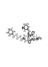 CC(C)C[C@@H]1NC(=O)C2(CCN(CCCCCc3ccccc3)CC2)N(CCc2cccnc2)C1=O